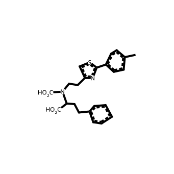 Cc1ccc(-c2nc(CCN(C(=O)O)C(CCc3ccccc3)C(=O)O)cs2)cc1